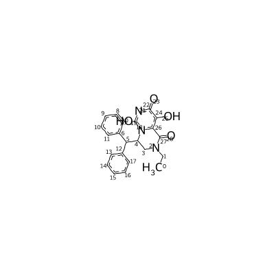 CCN1CC(C(c2c#cccc2)c2ccccc2)n2c(O)nc(=O)c(O)c2C1=O